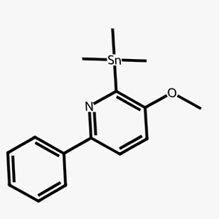 COc1ccc(-c2ccccc2)n[c]1[Sn]([CH3])([CH3])[CH3]